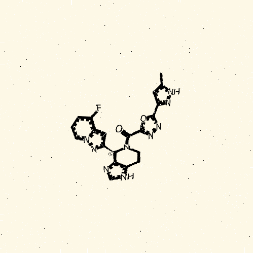 Cc1cc(-c2nnc(C(=O)N3CCc4[nH]cnc4[C@H]3c3cc4c(F)cccn4n3)o2)n[nH]1